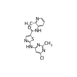 Cc1nc(Cl)cc(Nc2ncc(C(=O)Nc3cccnc3C)s2)n1